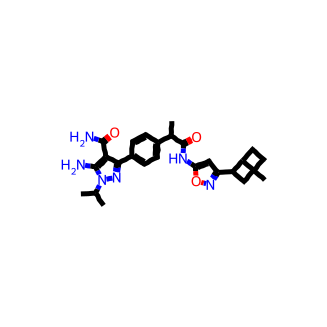 CC(C(=O)Nc1cc(C2CC3(C)CCC23)no1)c1ccc(-c2nn(C(C)C)c(N)c2C(N)=O)cc1